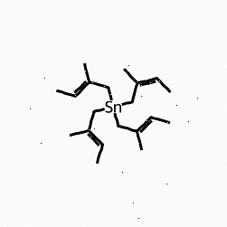 CC=C(C)[CH2][Sn]([CH2]C(C)=CC)([CH2]C(C)=CC)[CH2]C(C)=CC